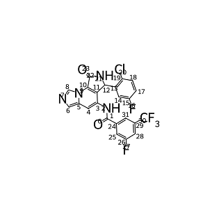 O=C(Nc1cc2cncn2c2c1C(c1cc(F)ccc1Cl)NC2=O)c1cc(F)cc(C(F)(F)F)c1